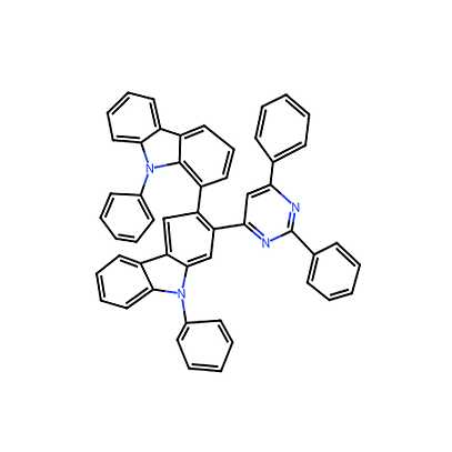 c1ccc(-c2cc(-c3cc4c(cc3-c3cccc5c6ccccc6n(-c6ccccc6)c35)c3ccccc3n4-c3ccccc3)nc(-c3ccccc3)n2)cc1